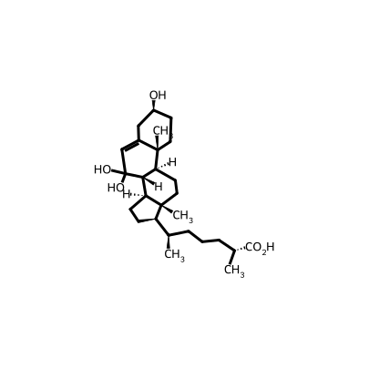 C[C@H](CCC[C@@H](C)[C@H]1CC[C@H]2[C@H]3[C@H](CC[C@]12C)[C@@]1(C)CC[C@H](O)CC1=CC3(O)O)C(=O)O